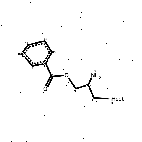 CCCCCCCCC(N)COC(=O)c1ccccc1